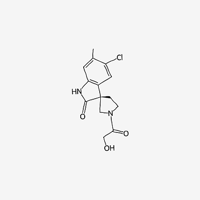 Cc1cc2c(cc1Cl)[C@@]1(CCN(C(=O)CO)C1)C(=O)N2